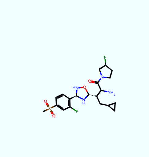 CS(=O)(=O)c1ccc([C@H]2NO[C@H](C(CC3CC3)C(N)C(=O)N3CC[C@H](F)C3)N2)c(F)c1